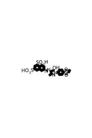 C=CS(=O)(=O)c1ccc(N2N=C(C)C(/N=N/c3ccc4c(S(=O)(=O)O)cc(S(=O)(=O)O)cc4c3)C2O)cc1